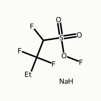 CCC(F)(F)C(F)S(=O)(=O)OF.[NaH]